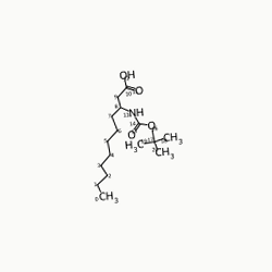 CCCCCCCCC(CC(=O)O)NC(=O)OC(C)(C)C